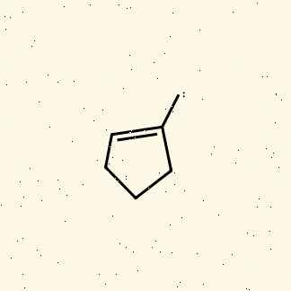 [CH]C1=CCCC1